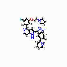 Fc1cc(OCCN2CCCC2)cc(-c2nccc3[nH]c(-c4n[nH]c5ccc(-c6ccccn6)cc45)cc23)c1